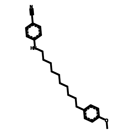 COc1ccc(CCCCCCCCCCNc2ccc(C#N)cc2)cc1